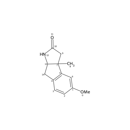 COc1ccc2c(c1)C1(C)CC(=O)NC1C2